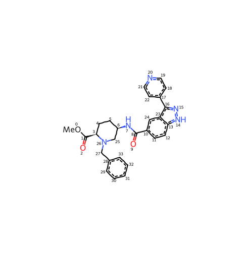 COC(=O)[C@H]1CC[C@@H](NC(=O)c2ccc3[nH]nc(-c4ccncc4)c3c2)CN1Cc1ccccc1